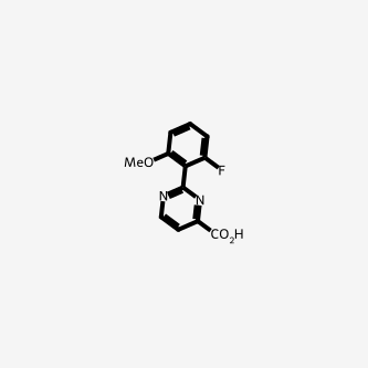 COc1cccc(F)c1-c1nccc(C(=O)O)n1